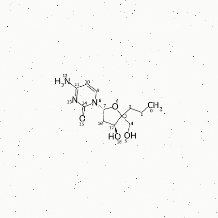 CCCC1(CO)O[C@@H](n2ccc(N)nc2=O)C[C@@H]1O